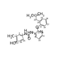 Cc1cc(NC(=O)Nc2cccnc2Oc2ccccc2CC(C)C)ccc1O